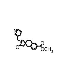 COC(=O)c1ccc2c(c1)CCC1(CC(=O)N(Cc3cccnc3)C1)C2